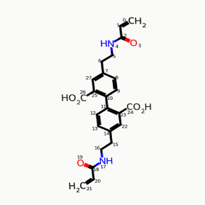 C=CC(=O)NCCc1ccc(-c2ccc(CCNC(=O)C=C)cc2C(=O)O)c(C(=O)O)c1